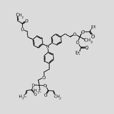 C=CC(=O)OCCc1ccc(N(c2ccc(CCOCC(C)(OC(=O)C=C)OC(=O)C=C)cc2)c2ccc(CCOC(C)(OC(=O)CC)OC(=O)CC)cc2)cc1